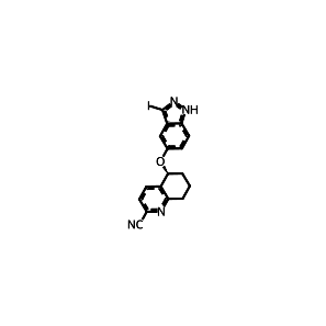 N#Cc1ccc2c(n1)CCC[C@@H]2Oc1ccc2[nH]nc(I)c2c1